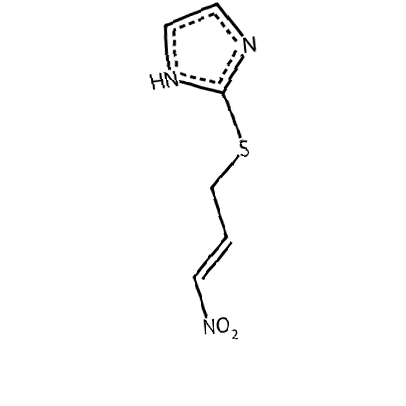 O=[N+]([O-])C=CCSc1ncc[nH]1